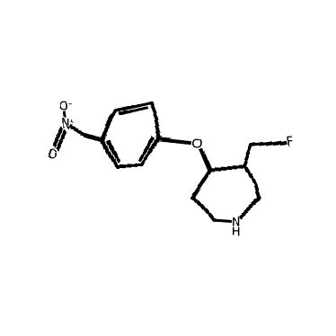 O=[N+]([O-])c1ccc(OC2CCNCC2CF)cc1